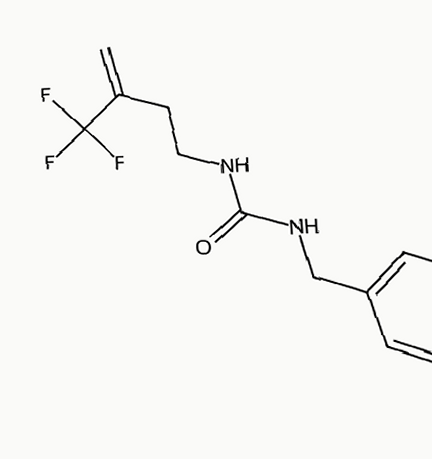 C=C(CCNC(=O)NCc1cccc(Cl)c1)C(F)(F)F